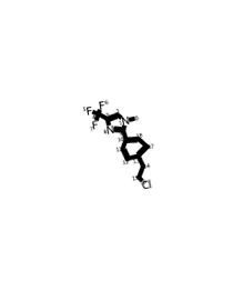 Cn1cc(C(F)(F)F)nc1-c1ccc(CCCl)cc1